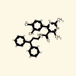 Cc1nc(C)c(C(=O)NCCC(c2ccccc2)c2ccccc2)c(-c2ccc(Cl)c(Cl)c2)n1